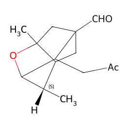 CC(=O)CC1C2OC3(C)CC1(C=O)CC3[C@@H]2C